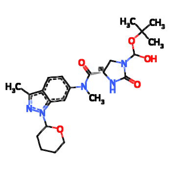 Cc1nn(C2CCCCO2)c2cc(N(C)C(=O)[C@@H]3CN(C(O)OC(C)(C)C)C(=O)N3)ccc12